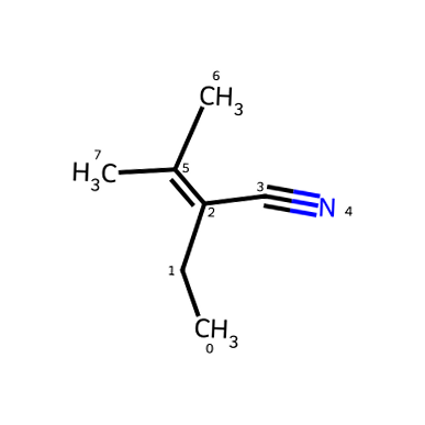 CCC(C#N)=C(C)C